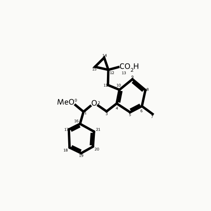 COC(OCc1cc(C)ccc1CC1(C(=O)O)CC1)c1ccccc1